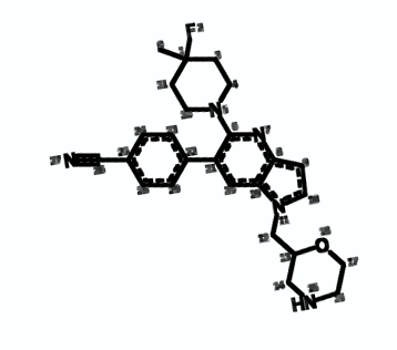 CC1(F)CCN(c2nc3ccn(CC4CNCCO4)c3cc2-c2ccc(C#N)cc2)CC1